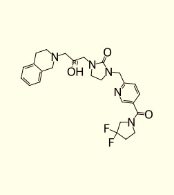 O=C(c1ccc(CN2CCN(C[C@H](O)CN3CCc4ccccc4C3)C2=O)nc1)N1CCC(F)(F)C1